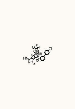 CSc1sc(C(=N)N)cc1S(=O)(=O)c1cccc(-c2ccc(Cl)cc2)c1.O=C(O)C(F)(F)F